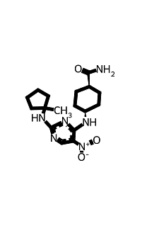 CC1(Nc2ncc([N+](=O)[O-])c(N[C@H]3CC[C@H](C(N)=O)CC3)n2)CCCC1